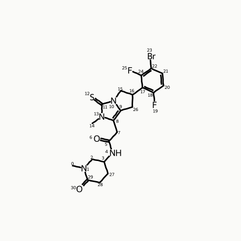 CN1CC(NC(=O)Cc2c3n(c(=S)n2C)CC(c2c(F)ccc(Br)c2F)C3)CCC1=O